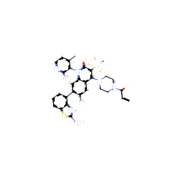 C=CC(=O)N1CCN(c2c(S(C)(=O)=O)c(=O)n(-c3c(C)ccnc3C(C)C)c3c(F)c(-c4cccc5sc(N)nc45)c(Cl)cc23)CC1